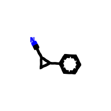 N#CC1CC1c1ccccc1